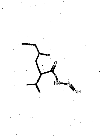 CCC(C)CC(C(=O)NN=N)C(C)C